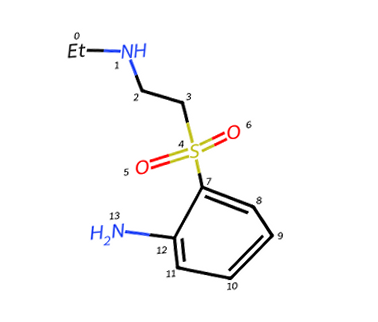 CCNCCS(=O)(=O)c1ccccc1N